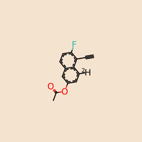 [2H]c1cc(OC(C)=O)cc2ccc(F)c(C#C)c12